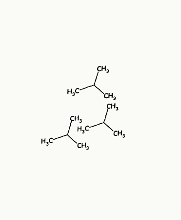 CC(C)C.CC(C)C.CC(C)C